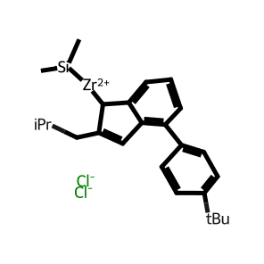 CC(C)CC1=Cc2c(-c3ccc(C(C)(C)C)cc3)cccc2[CH]1[Zr+2][Si](C)C.[Cl-].[Cl-]